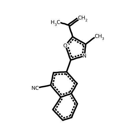 C=C(C)c1oc(-c2cc(C#N)c3ccccc3c2)nc1C